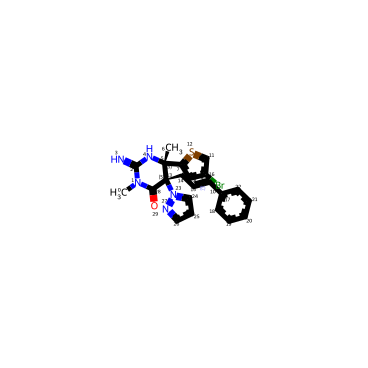 CN1C(=N)N[C@](C)(c2cc(Br)cs2)[C@](C/C=C/c2ccccc2)(n2cccn2)C1=O